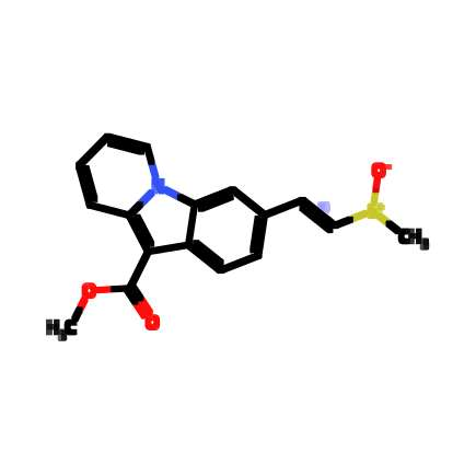 COC(=O)c1c2ccc(/C=C/[S+](C)[O-])cc2n2ccccc12